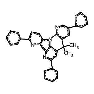 CC1(C)c2cc(-c3ccccc3)cnc2-n2c3ccc(-c4ccccc4)nc3c3nc(-c4ccccc4)cc1c32